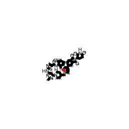 Cc1nc(Nc2ncc(C(=O)Nc3c(C)cccc3Cl)s2)cc(N2CCC(CN3CC4CCC3CN4c3cc4c(cc3F)C(=O)N(C3CCC(=O)NC3=O)C4=O)CC2)n1